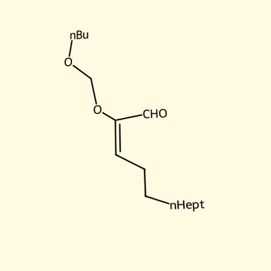 CCCCCCCCC/C=C(\C=O)OCOCCCC